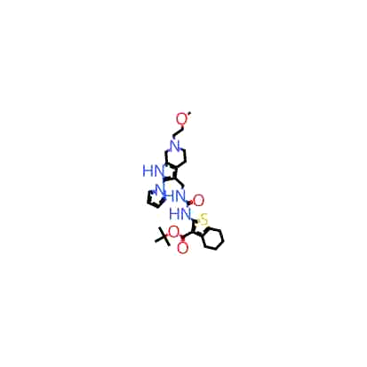 COCCN1CCc2c([nH]c(-n3cccc3)c2CNC(=O)Nc2sc3c(c2C(=O)OC(C)(C)C)CCCC3)C1